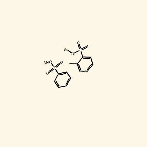 CCOS(=O)(=O)c1ccccc1C.COS(=O)(=O)c1ccccc1